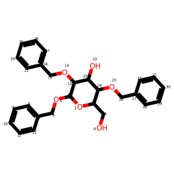 OCC1OC(OCc2ccccc2)C(OCc2ccccc2)C(O)C1OCc1ccccc1